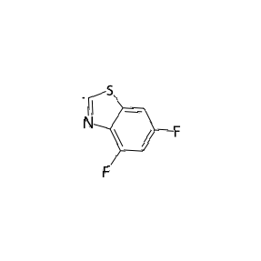 Fc1cc(F)c2n[c]sc2c1